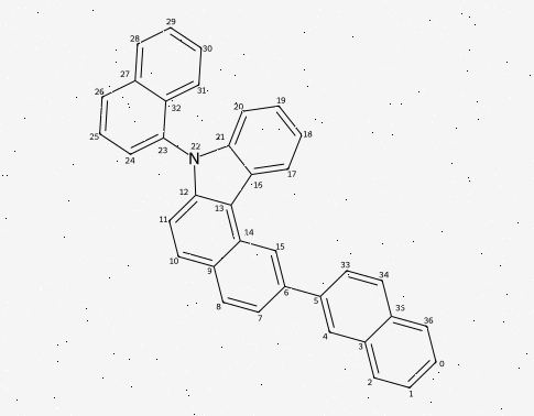 c1ccc2cc(-c3ccc4ccc5c(c4c3)c3ccccc3n5-c3cccc4ccccc34)ccc2c1